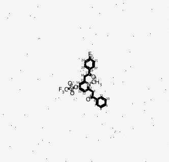 C[n+]1c(CC(=O)c2ccccc2)cccc1CC(=O)c1ccc(F)cc1.O=S(=O)([O-])C(F)(F)F